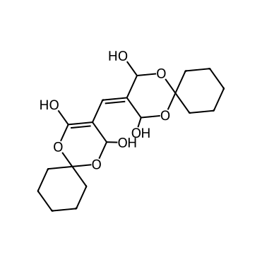 OC1=C(C=C2C(O)OC3(CCCCC3)OC2O)C(O)OC2(CCCCC2)O1